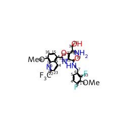 COc1c(F)ccc(CNC(=O)c2nc(-c3ccc(OC)c4nc(C(F)(F)F)ccc34)oc2[C@@H](N)CO)c1F